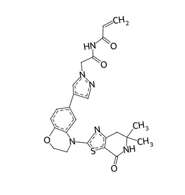 C=CC(=O)NC(=O)Cn1cc(-c2ccc3c(c2)N(c2nc4c(s2)C(=O)NC(C)(C)C4)CCO3)cn1